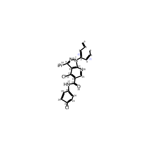 C=C/C=C(\C=C/C)n1nc(C(C)C)c2c(Cl)c(C(=O)Nc3ccc(Cl)cc3)cnc21